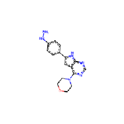 NNc1ccc(-c2cc3c(N4CCOCC4)ncnc3[nH]2)cc1